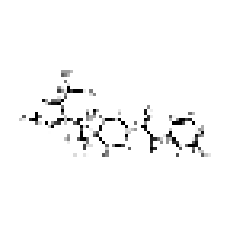 Cc1cc(NC(=O)N2CCC(C(C)(F)[S+]([O-])c3cn(C)nc3C(F)F)CC2)ccn1